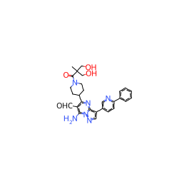 CC(CO)(CO)C(=O)N1CCC(c2nc3c(-c4ccc(-c5ccccc5)nc4)cnn3c(N)c2C=O)CC1